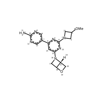 COC1CN(c2nc(-c3cnc(N)nc3)cc(N3CC4OC[C@H]43)n2)C1